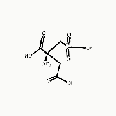 N[C@](CC(=O)O)(CS(=O)(=O)O)C(=O)O